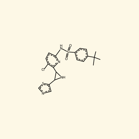 CC(C)(C)c1ccc(S(=O)(=O)Nc2ccc(Cl)c(C3NC3c3cncs3)n2)cc1